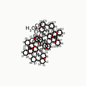 CC(C)(C)c1ccc2c(c1)B1c3cc(C(C)(C)Cc4cccc(N(c5ccccc5)c5cc6c7c(c5)N(c5c(-c8ccccc8)cccc5-c5ccccc5)c5ccccc5B7c5ccccc5N6c5ccccc5-c5ccccc5)c4)ccc3N(c3ccccc3-c3ccccc3)c3cc(N(c4ccccc4)c4ccccc4)cc(c31)N2c1c(-c2ccccc2)cccc1-c1ccccc1